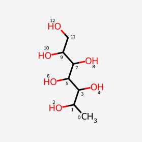 CC(O)C(O)C(O)C(O)C(O)[CH]O